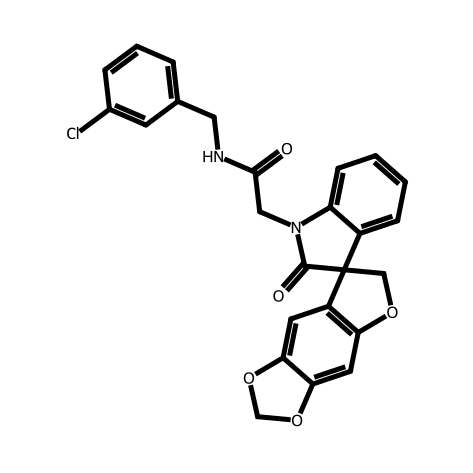 O=C(CN1C(=O)C2(COc3cc4c(cc32)OCO4)c2ccccc21)NCc1cccc(Cl)c1